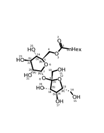 CCCCCCC(=O)OC[C@H]1O[C@H](O[C@]2(CO)O[C@H](CO)[C@@H](O)[C@@H]2O)[C@H](O)[C@@H](O)[C@@H]1O